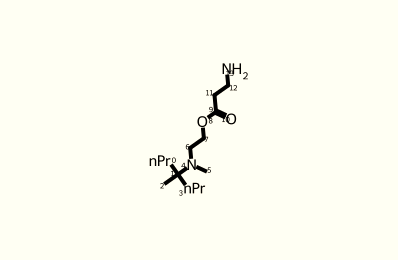 CCCC(C)(CCC)N(C)CCOC(=O)CCN